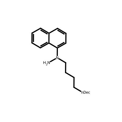 CCCCCCCCCCCCCCN(N)c1cccc2ccccc12